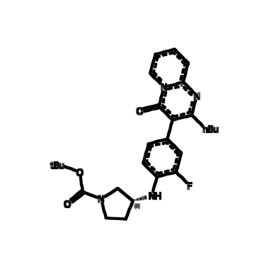 CCCCc1nc2ccccn2c(=O)c1-c1ccc(N[C@@H]2CCN(C(=O)OC(C)(C)C)C2)c(F)c1